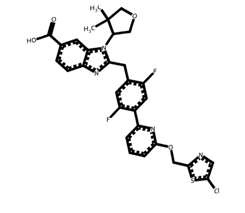 CC1(C)COCC1n1c(Cc2cc(F)c(-c3cccc(OCc4ncc(Cl)s4)n3)cc2F)nc2ccc(C(=O)O)cc21